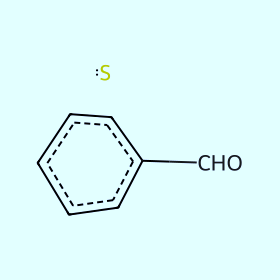 O=Cc1ccccc1.[S]